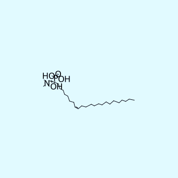 CCCCCCCCCCCCCC/C=C\CCCCCCCC(O)(C[N+](C)(C)C)P(=O)(O)O